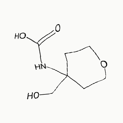 O=C(O)NC1(CO)CCOCC1